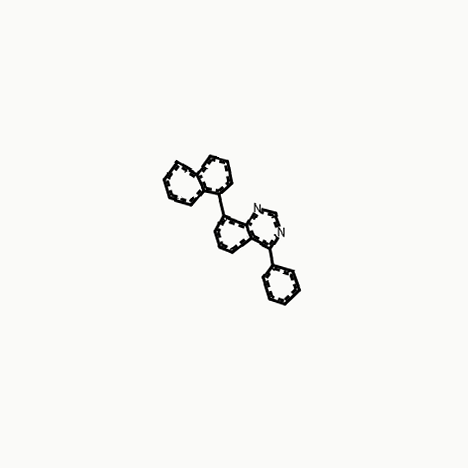 c1ccc(-c2ncnc3c(-c4cccc5ccccc45)cccc23)cc1